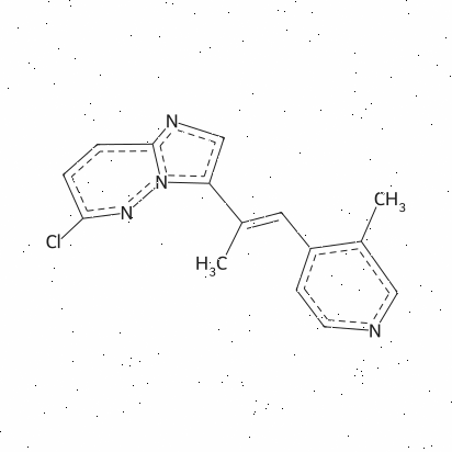 C/C(=C\c1ccncc1C)c1cnc2ccc(Cl)nn12